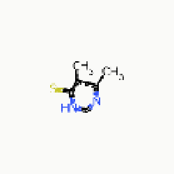 Cc1nc[nH]c(=S)c1C